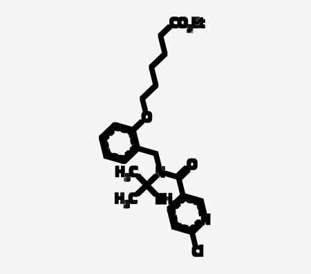 BC(C)(C)N(Cc1ccccc1OCCCCCC(=O)OCC)C(=O)c1ccc(Cl)nc1